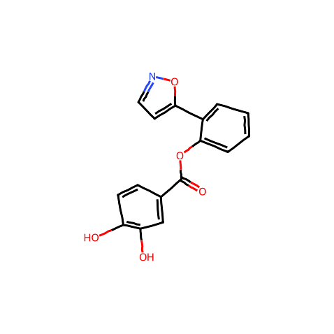 O=C(Oc1ccccc1-c1ccno1)c1ccc(O)c(O)c1